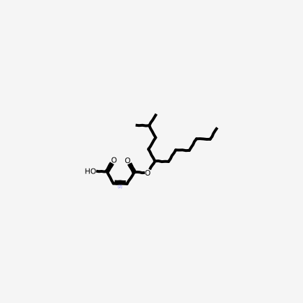 CCCCCCC(CCC(C)C)OC(=O)/C=C\C(=O)O